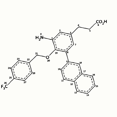 Nc1cc(CCC(=O)O)cc(-c2ccc3ccccc3c2)c1OCc1ccc(C(F)(F)F)cc1